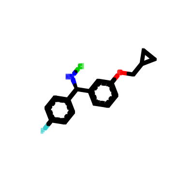 Fc1ccc([C@@H](NCl)c2cccc(OCC3CC3)c2)cc1